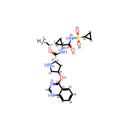 CC[C@@H]1C[C@]1(NC(=O)[C@@H]1CC(Oc2ncnc3ccccc23)CN1)C(=O)NS(=O)(=O)C1CC1